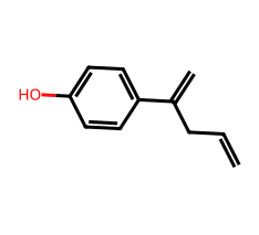 C=CCC(=C)c1ccc(O)cc1